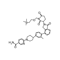 Cc1cc(C2CCN(c3ccc(C(N)=O)cn3)CC2)ccc1-c1cccc2c1CN(C1CCC(=O)N(COCC[Si](C)(C)C)C1=O)C2=O